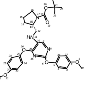 COc1ccc(Oc2ncc(NC[C@@H]3CCCN3C(=O)OC(C)(C)C)c(Oc3ccc(OC)cc3)n2)cc1